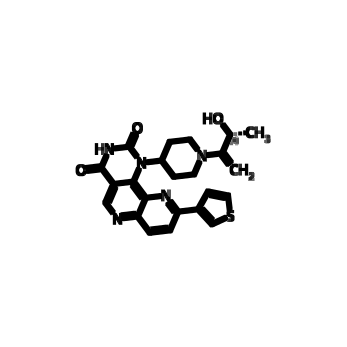 C=C([C@@H](C)O)N1CCC(n2c(=O)[nH]c(=O)c3cnc4ccc(-c5ccsc5)nc4c32)CC1